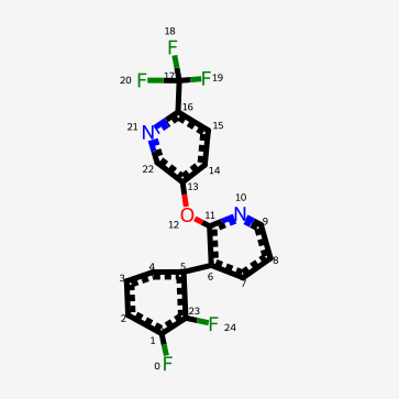 Fc1cccc(-c2cccnc2Oc2ccc(C(F)(F)F)nc2)c1F